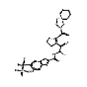 CC(C)(C)C(NC(=O)c1cc2cc(C(F)(F)P(=O)(O)O)ccc2s1)C(=O)N1CCCC1C(=O)N1CCC2(CCCCC2)C1